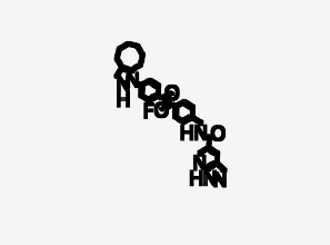 O=C(NCc1ccc(S(=O)(=O)c2ccc(N3NCC4=C3CCCCCC4)cc2F)cc1)c1cnc2[nH]ncc2c1